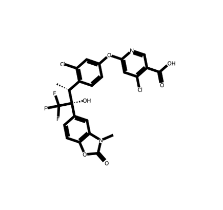 C[C@H](c1ccc(Oc2cc(Cl)c(C(=O)O)cn2)cc1Cl)[C@@](O)(c1ccc2oc(=O)n(C)c2c1)C(F)(F)F